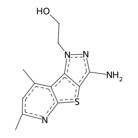 Cc1cc(C)c2c(n1)sc1c(N)nn(CCO)c12